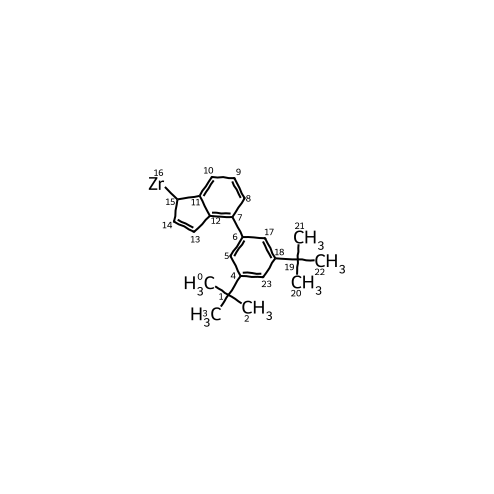 CC(C)(C)c1cc(-c2cccc3c2C=C[CH]3[Zr])cc(C(C)(C)C)c1